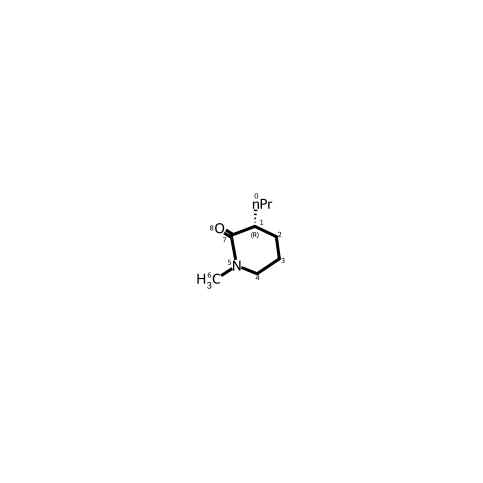 CCC[C@@H]1CCCN(C)C1=O